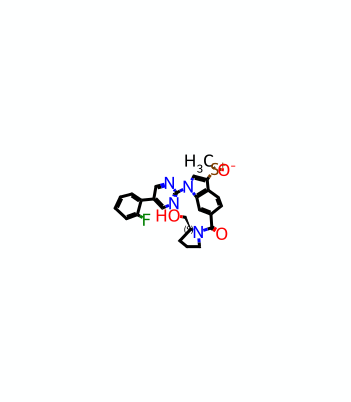 C[S+]([O-])c1cn(-c2ncc(-c3ccccc3F)cn2)c2cc(C(=O)N3CCC[C@H]3CO)ccc12